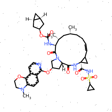 C[C@@H]1CC/C=C\C2C[C@@]2(C(=O)NS(=O)(=O)C2CC2)NC(=O)[C@@H]2C[C@@H](Oc3nccc4c5c(ccc34)N(C)CCO5)CN2C(=O)[C@@H](NC(=O)O[C@@H]2C[C@@H]3C[C@@H]3C2)[C@H](C)C1